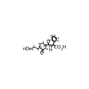 CCCCCCCCCCCCN1CCN(C(=O)NC(C(=O)O)c2ccccc2)CC1=O